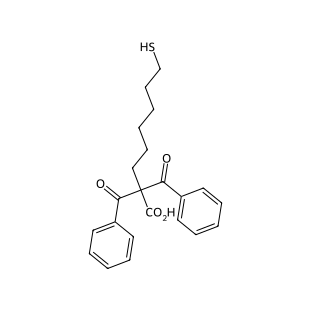 O=C(O)C(CCCCCCS)(C(=O)c1ccccc1)C(=O)c1ccccc1